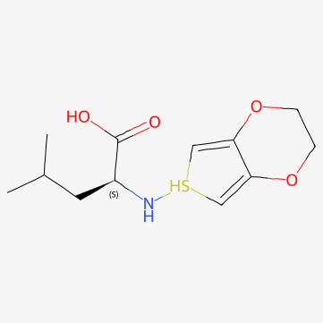 CC(C)C[C@H](N[SH]1C=C2OCCOC2=C1)C(=O)O